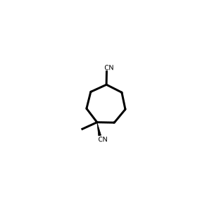 C[C@@]1(C#N)CCCC(C#N)CC1